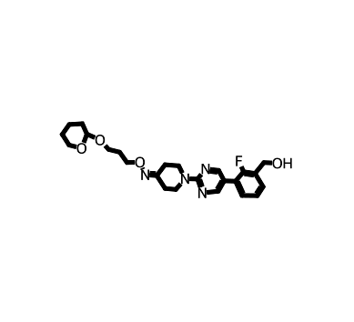 OCc1cccc(-c2cnc(N3CCC(=NOCCCOC4CCCCO4)CC3)nc2)c1F